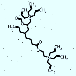 C=CCC(CCCC(=O)OCC[Si](CC=C)(CC=C)CC=C)CC(C[Si](CC=C)(CC=C)CC=C)O[C]=O